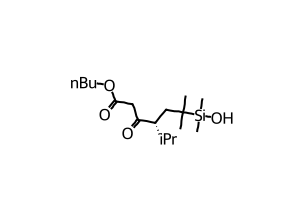 CCCCOC(=O)CC(=O)[C@H](CC(C)(C)[Si](C)(C)O)C(C)C